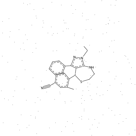 CCn1nc(-c2ccccn2)c2c1NCCSC2c1ccc(C#N)cc1C